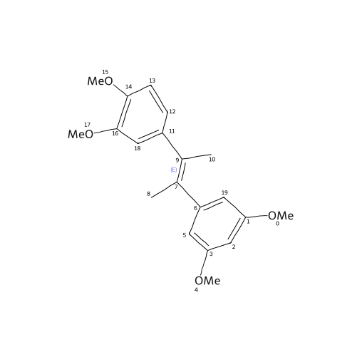 COc1cc(OC)cc(/C(C)=C(\C)c2ccc(OC)c(OC)c2)c1